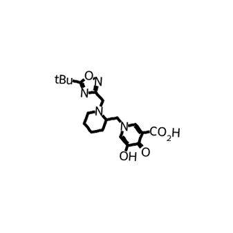 CC(C)(C)c1nc(CN2CCCCC2Cn2cc(O)c(=O)c(C(=O)O)c2)no1